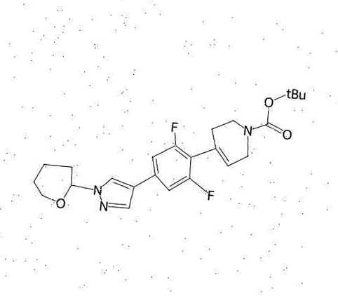 CC(C)(C)OC(=O)N1CC=C(c2c(F)cc(-c3cnn(C4CCCCO4)c3)cc2F)CC1